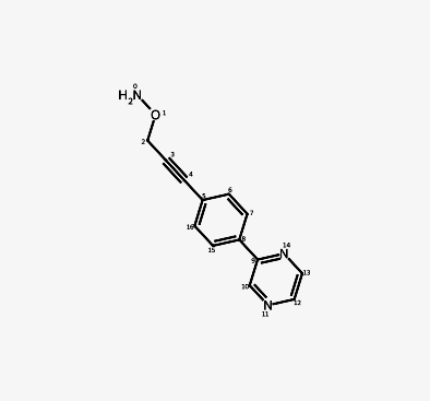 NOCC#Cc1ccc(-c2cnccn2)cc1